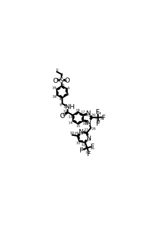 CCS(=O)(=O)c1ccc(CNC(=O)c2ccc3c(c2)nc(C(F)(F)F)n3Cc2nc(C)cc(C(F)(F)F)n2)cc1